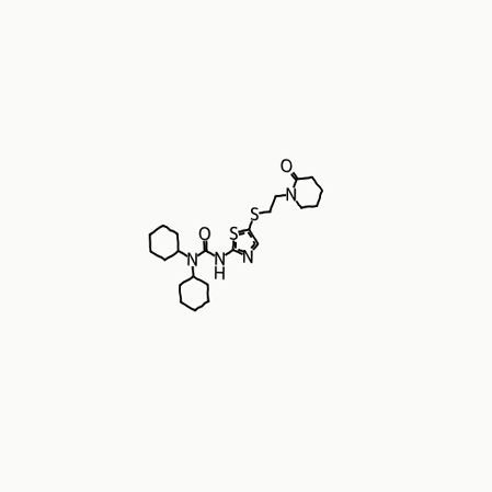 O=C1CCCCN1CCSc1cnc(NC(=O)N(C2CCCCC2)C2CCCCC2)s1